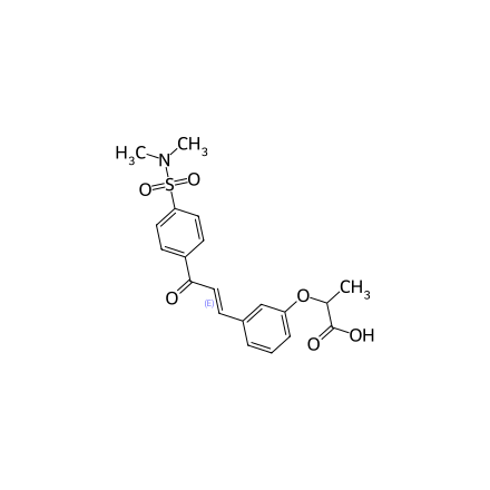 CC(Oc1cccc(/C=C/C(=O)c2ccc(S(=O)(=O)N(C)C)cc2)c1)C(=O)O